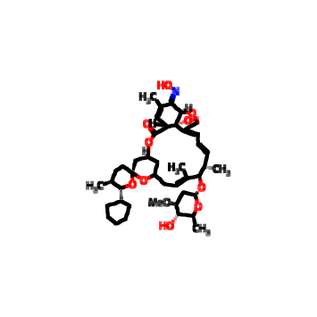 CO[C@H]1C[C@H](O[C@H]2/C(C)=C/CC3C[C@@H](C[C@@]4(CC[C@H](C)[C@@H](C5CCCCC5)O4)O3)OC(=O)[C@@H]3C=C(C)/C(=N\O)[C@H]4OC/C(=C\C=C\[C@@H]2C)[C@]43O)O[C@@H](C)[C@@H]1O